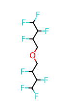 FC(F)C(F)C(F)COCC(F)C(F)C(F)F